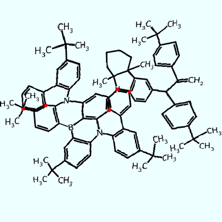 C=C(c1ccc(C(C)(C)C)cc1)C(c1ccc(C(C)(C)C)cc1)c1ccc2c(c1)C1(C)CCCCC1(C)N2c1cc2c3c(c1)N(c1ccc(C(C)(C)C)cc1-c1ccccc1)c1cc(C(C)(C)C)ccc1B3c1cc(C(C)(C)C)ccc1N2c1ccc(C(C)(C)C)cc1-c1ccccc1